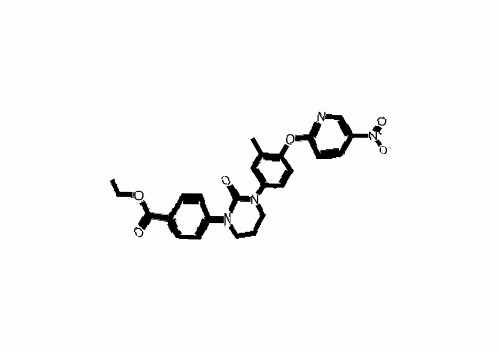 CCOC(=O)c1ccc(N2CCCN(c3ccc(Oc4ccc([N+](=O)[O-])cn4)c(C)c3)C2=O)cc1